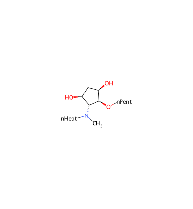 CCCCCCCN(C)[C@H]1[C@H](OCCCCC)[C@H](O)C[C@@H]1O